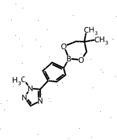 Cn1ncnc1-c1ccc(B2OCC(C)(C)CO2)cc1